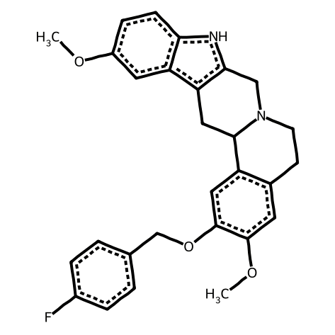 COc1ccc2[nH]c3c(c2c1)CC1c2cc(OCc4ccc(F)cc4)c(OC)cc2CCN1C3